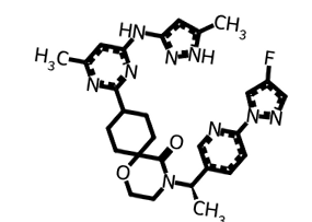 Cc1cc(Nc2cc(C)[nH]n2)nc(C2CCC3(CC2)OCCN([C@H](C)c2ccc(-n4cc(F)cn4)nc2)C3=O)n1